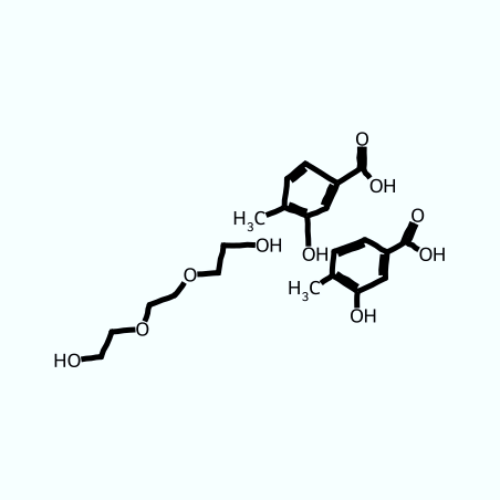 Cc1ccc(C(=O)O)cc1O.Cc1ccc(C(=O)O)cc1O.OCCOCCOCCO